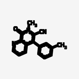 Cc1cccc(-c2c(C#N)n(C)c(=O)c3ncccc23)c1